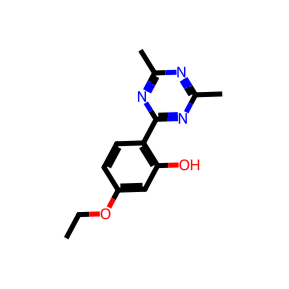 CCOc1ccc(-c2nc(C)nc(C)n2)c(O)c1